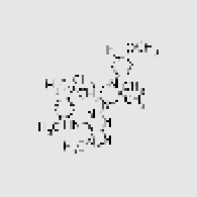 COc1ccc(N2CCN(c3nc(Nc4cc(C(C)(C)C)ccc4C)c4c(ncn4C)n3)CC2(C)C)cc1F